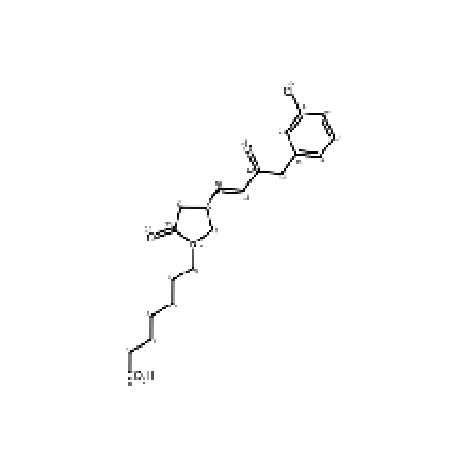 O=C(O)CCCCCCN1C[C@H](C=CC(=O)Cc2cccc(Cl)c2)CC1=O